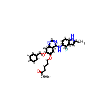 COC(=O)CCCCOc1cc2c(Nc3ccc4[nH]c(C)cc4c3F)ncnc2cc1OCc1ccccc1